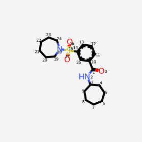 O=C(NC1CCCCCC1)c1cccc(S(=O)(=O)N2CCCCCC2)c1